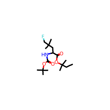 CCC(C)(C)OC(=O)C(CC(C)(C)CF)NC(=O)OC(C)(C)C